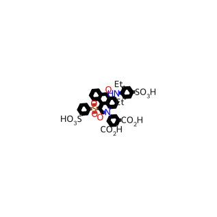 CCc1cc(S(=O)(=O)O)cc(CC)c1Nc1ccc2c3c1C(=O)c1ccccc1-c3c(S(=O)(=O)c1cccc(S(=O)(=O)O)c1)c(=O)n2-c1ccc(C(=O)O)c(C(=O)O)c1